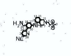 CS(=O)(=O)CCN1CCc2c(cccc2Nc2ccc(CN)c(-c3ccc(C#N)cn3)c2)C1